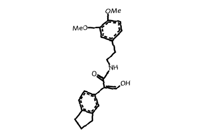 COc1ccc(CCNC(=O)C(=CO)c2ccc3c(c2)CCC3)cc1OC